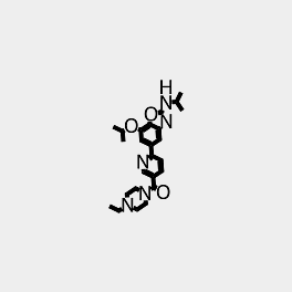 CCN1CCN(C(=O)c2ccc(-c3cc(OC(C)C)c4oc(NC(C)C)nc4c3)nc2)CC1